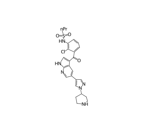 CCCS(=O)(=O)Nc1cccc(C(=O)c2c[nH]c3ncc(-c4cnn(C5CCNCC5)c4)cc23)c1Cl